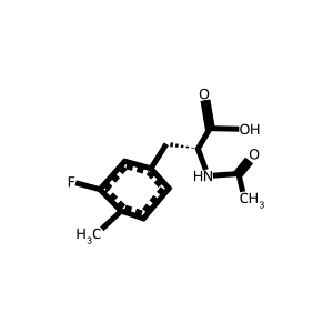 CC(=O)N[C@H](Cc1ccc(C)c(F)c1)C(=O)O